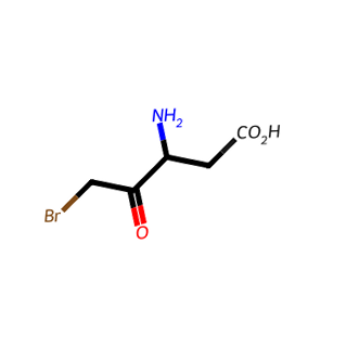 NC(CC(=O)O)C(=O)CBr